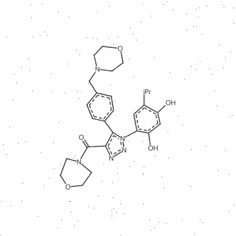 CC(C)c1cc(-n2nnc(C(=O)N3CCOCC3)c2-c2ccc(CN3CCOCC3)cc2)c(O)cc1O